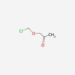 CC(=O)COCCl